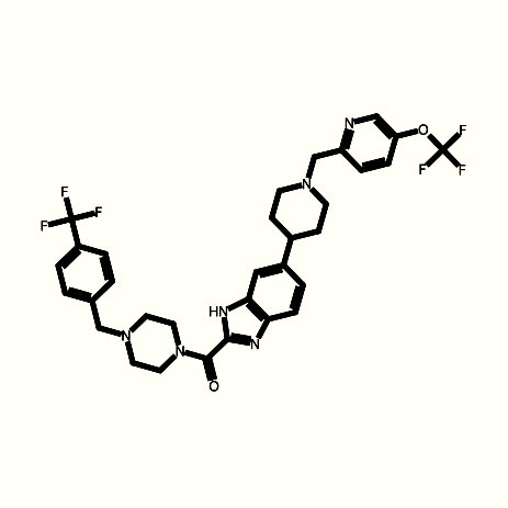 O=C(c1nc2ccc(C3CCN(Cc4ccc(OC(F)(F)F)cn4)CC3)cc2[nH]1)N1CCN(Cc2ccc(C(F)(F)F)cc2)CC1